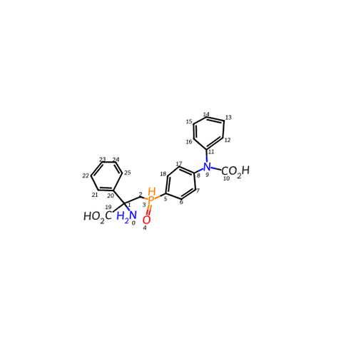 NC(C[PH](=O)c1ccc(N(C(=O)O)c2ccccc2)cc1)(C(=O)O)c1ccccc1